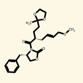 COC/C=C/C[C@@H](CCC1(C)OCCO1)C(=O)N1C(=O)OC[C@@H]1Cc1ccccc1